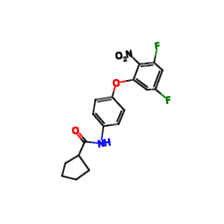 O=C(Nc1ccc(Oc2cc(F)cc(F)c2[N+](=O)[O-])cc1)C1CCCC1